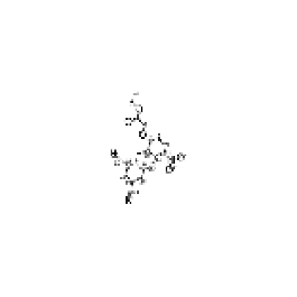 CCOC(=O)COc1ccc([N+](=O)[O-])c(Oc2cc(C#N)cc(C#N)c2)c1F